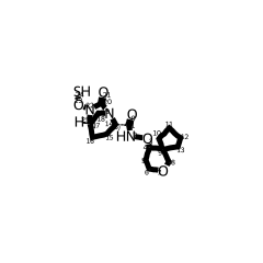 O=C(NOC1CCOCC12CCCC2)[C@@H]1CC[C@@H]2CN1C(=O)N2OS